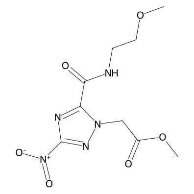 COCCNC(=O)c1nc([N+](=O)[O-])nn1CC(=O)OC